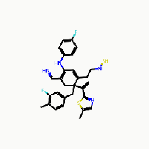 C=C(c1ncc(C)s1)C1(Cc2ccc(C)c(F)c2)CC(C=N)=C(Nc2ccc(F)cc2)C=C1CCNS